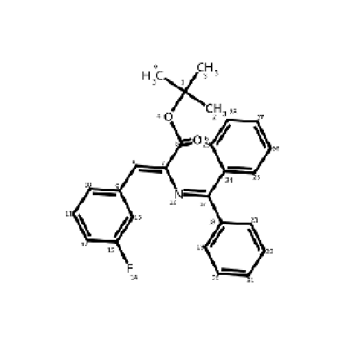 CC(C)(C)OC(=O)C(=Cc1cccc(F)c1)N=C(c1ccccc1)c1ccccc1